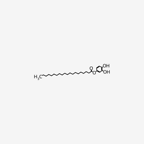 CCCCCCCCCCCCCCCCCCCC(=O)Oc1ccc(O)c(O)c1